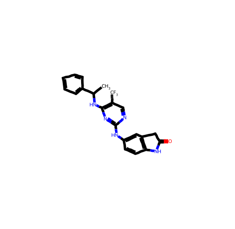 CC(Nc1nc(Nc2ccc3c(c2)CC(=O)N3)ncc1C(F)(F)F)c1ccccc1